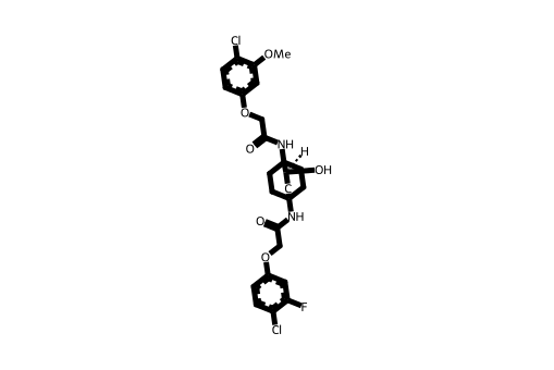 COc1cc(OCC(=O)NC23CCC(NC(=O)COc4ccc(Cl)c(F)c4)(CC2)C[C@@H]3O)ccc1Cl